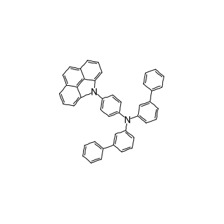 c1ccc(-c2cccc(N(c3ccc(-n4c5cccc6ccc7cccc4c7c65)cc3)c3cccc(-c4ccccc4)c3)c2)cc1